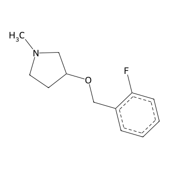 CN1CCC(OCc2ccccc2F)C1